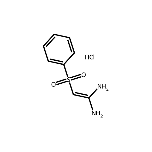 Cl.NC(N)=CS(=O)(=O)c1ccccc1